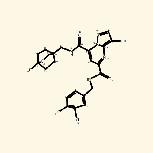 O=C(NCc1ccc(F)c(Cl)c1)c1cc(C(=O)NCC23CCC(F)(CC2)CC3)n2ncc(F)c2n1